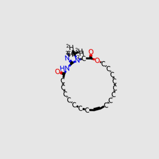 [2H]C([2H])([2H])N1CC(=O)OCCCCCCCCC=CCCCCCCCC(=O)NC1=NC(=O)O